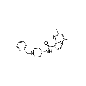 Cc1cc(C)n2ccc(C(=O)NC3CCN(Cc4ccccc4)CC3)c2n1